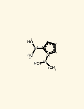 CB(O)n1cccc1B(O)O